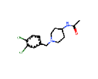 CC(=O)NC1CCN(Cc2ccc(Cl)c(Cl)c2)CC1